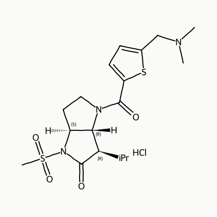 CC(C)[C@H]1C(=O)N(S(C)(=O)=O)[C@H]2CCN(C(=O)c3ccc(CN(C)C)s3)[C@H]12.Cl